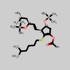 CCCC[C@@H](C)C[C@@H](C=C[C@@H]1C(SCCCCC(C)C(=O)O)=C(OC(=O)C(C)C)C[C@H]1O[Si](C)(C)C(C)(C)C)O[Si](C)(C)C(C)(C)C